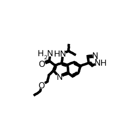 CCOCCc1nc2ccc(-c3cn[nH]c3)cc2c(NC(C)C)c1C(N)=O